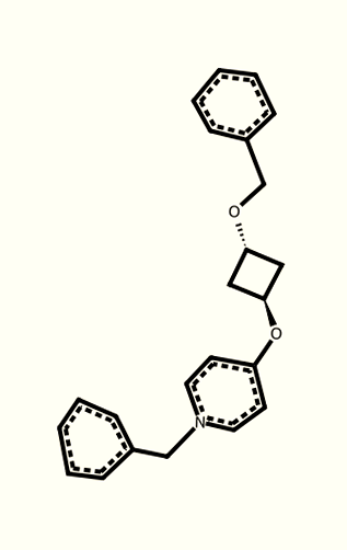 c1ccc(CO[C@H]2C[C@H](Oc3cc[n+](Cc4ccccc4)cc3)C2)cc1